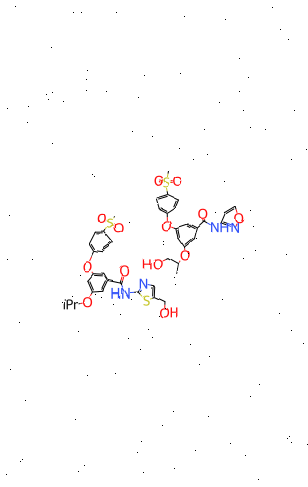 CC(C)Oc1cc(Oc2ccc(S(C)(=O)=O)cc2)cc(C(=O)Nc2ncc(CO)s2)c1.CC(CO)Oc1cc(Oc2ccc(S(C)(=O)=O)cc2)cc(C(=O)Nc2ccon2)c1